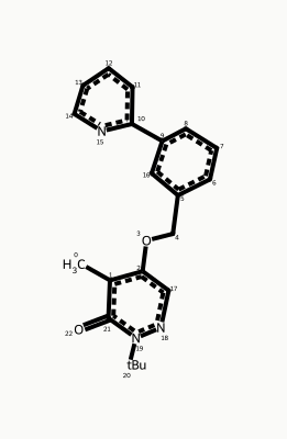 Cc1c(OCc2cccc(-c3ccccn3)c2)cnn(C(C)(C)C)c1=O